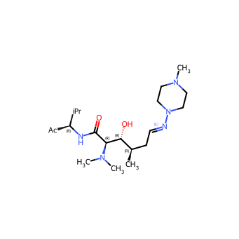 CC(=O)[C@H](NC(=O)[C@@H]([C@H](O)[C@H](C)C/C=N/N1CCN(C)CC1)N(C)C)C(C)C